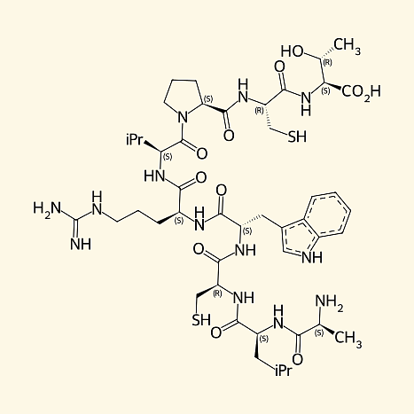 CC(C)C[C@H](NC(=O)[C@H](C)N)C(=O)N[C@@H](CS)C(=O)N[C@@H](Cc1c[nH]c2ccccc12)C(=O)N[C@@H](CCCNC(=N)N)C(=O)N[C@H](C(=O)N1CCC[C@H]1C(=O)N[C@@H](CS)C(=O)N[C@H](C(=O)O)[C@@H](C)O)C(C)C